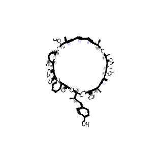 CO[C@H]1C(=O)[C@H](C)C[C@H](C)/C=C/C=C/C=C(\C)[C@@H](O)C[C@@H]2CC[C@@H](C)[C@@](O)(O2)C(=O)C(=O)N2CCCCC2C(=O)O[C@H]([C@H](C)CC2CCC(O)CC2)CC(=O)[C@H](C)/C=C(\C)[C@H]1O